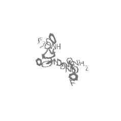 Nc1c(Oc2ccc(F)cc2)ncn(CC2(O)CCN(C(=O)[C@@H]3CCN(C(=O)Nc4ccccc4C(F)(F)F)C[C@H]3c3ccccc3)CC2)c1=O